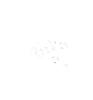 COc1ccc(CC(NC(=O)C(C)NC(=O)c2ccncc2)C(=O)NC(CC2CCCC2)C(=O)C2(C)CO2)cc1